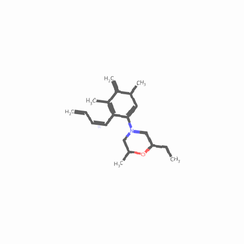 C=C/C=C\C1=C(C)C(=C)C(C)C=C1N1CC(C)OC(CC)C1